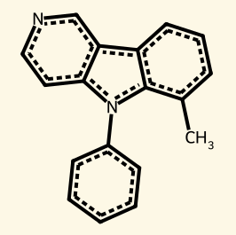 Cc1cccc2c3cnccc3n(-c3ccccc3)c12